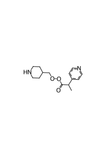 CC(C(=O)OOCC1CCNCC1)c1ccncc1